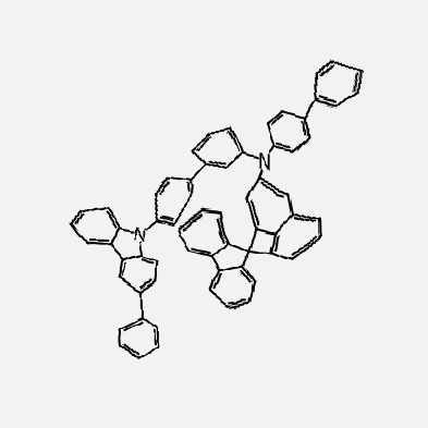 c1ccc(-c2ccc(N(c3cccc(-c4ccc(-n5c6ccccc6c6cc(-c7ccccc7)ccc65)cc4)c3)c3cc4c5c(cccc5c3)C43c4ccccc4-c4ccccc43)cc2)cc1